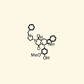 COc1cc([C@@H]2c3[nH]c4ccccc4c3C[C@@H]3C(=O)N([C@@H]4CCN(Cc5ccccc5)C4)CC(=O)N23)ccc1O